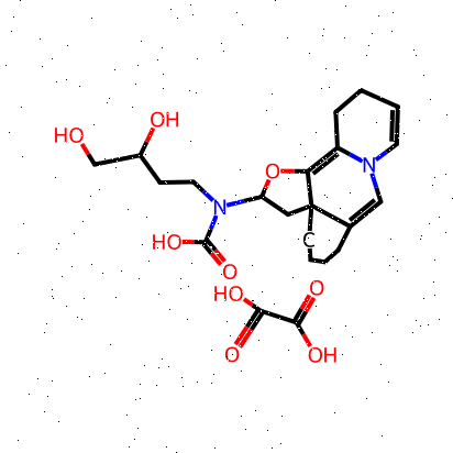 O=C(O)C(=O)O.O=C(O)N(CCC(O)CO)C1CC23CCCCC2=CN2C=CCCC2=C3O1